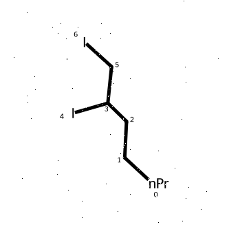 CCCCCC(I)CI